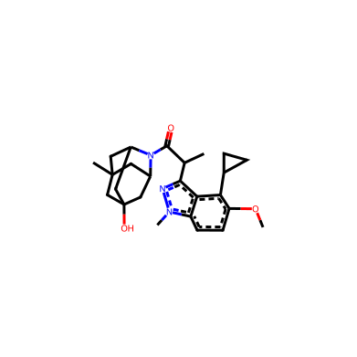 COc1ccc2c(c(C(C)C(=O)N3C4CC5(C)CC3CC(O)(C4)C5)nn2C)c1C1CC1